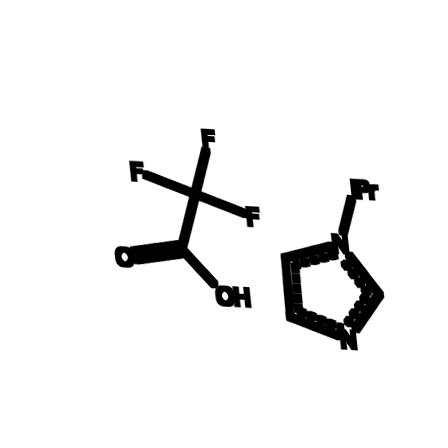 CC(C)n1ccnc1.O=C(O)C(F)(F)F